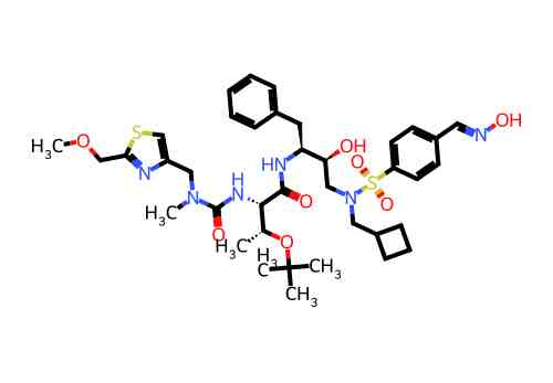 COCc1nc(CN(C)C(=O)N[C@H](C(=O)N[C@@H](Cc2ccccc2)[C@@H](O)CN(CC2CCC2)S(=O)(=O)c2ccc(C=NO)cc2)[C@@H](C)OC(C)(C)C)cs1